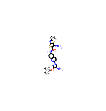 Cc1nc2sc(C(=O)NC3CCc4nc(N5CC(N)C(OC(C)C)C5)ccc4C3)c(N)c2s1